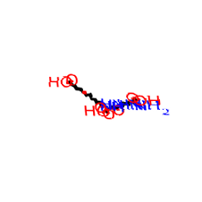 NN[C@@H](CCCCNC(=O)CC[C@H](NC(=O)CCCCCCCCCCCCC(=O)O)C(=O)O)C(=O)O